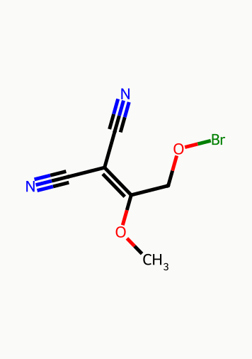 COC(COBr)=C(C#N)C#N